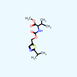 COC(=O)C(NC(=O)OCc1cnc(C(C)C)s1)C(C)C